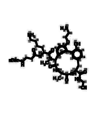 CCCCCCCCCCNCCC(=O)N[C@@H](CCCCN)C(=O)N(C)[C@@H]1C(=O)N[C@@H](C)C(=O)N[C@H](C(=O)NCC#N)Cc2ccc(O)c(c2)-c2cc1ccc2OCCN